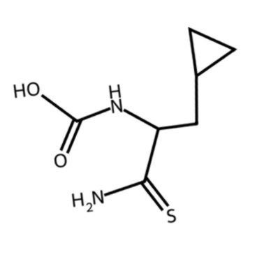 NC(=S)C(CC1CC1)NC(=O)O